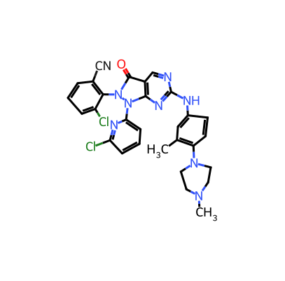 Cc1cc(Nc2ncc3c(=O)n(-c4c(Cl)cccc4C#N)n(-c4cccc(Cl)n4)c3n2)ccc1N1CCN(C)CC1